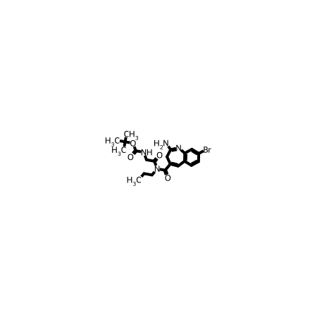 CCCN(C(=O)CNC(=O)OC(C)(C)C)C(=O)C1=Cc2ccc(Br)cc2N=C(N)C1